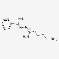 NCCCC/C(N)=N/N=C(\N)c1ccccn1